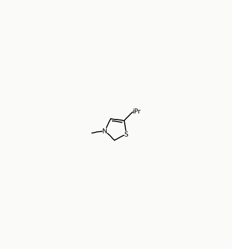 CC(C)C1=CN(C)CS1